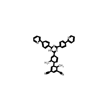 CC1C=C(C2=NC(c3ccc(-c4ccccn4)cc3)=NC(c3ccc(-c4ccccn4)cc3)N2)C=CC1C1C=C(C#N)C=C(C#N)C1C